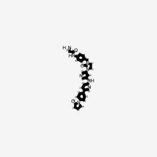 NCC(=O)Nc1ccc(CN2CCN(c3cncc(Nc4ccc(-c5ccc(N6CCCC6=O)cc5)cn4)c3)C2=O)cc1